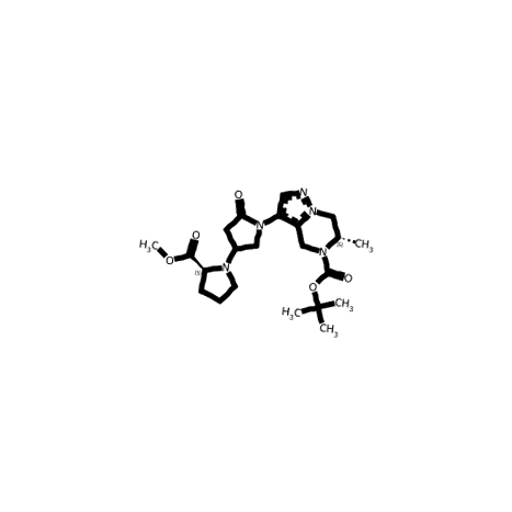 COC(=O)[C@@H]1CCCN1C1CC(=O)N(c2cnn3c2CN(C(=O)OC(C)(C)C)[C@@H](C)C3)C1